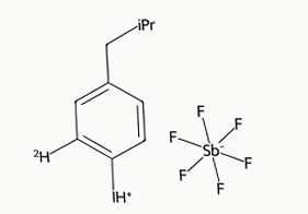 [2H]c1cc(CC(C)C)ccc1[IH+].[F][Sb-]([F])([F])([F])([F])[F]